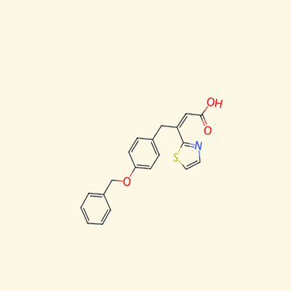 O=C(O)C=C(Cc1ccc(OCc2ccccc2)cc1)c1nccs1